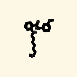 COc1cccc(NC(=O)c2cccnc2NCCCCCCN)c1